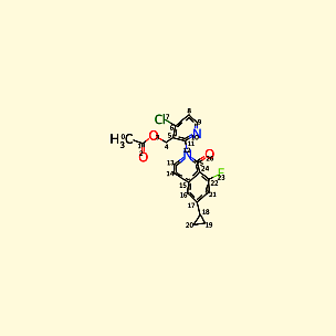 CC(=O)OCc1c(Cl)ccnc1-n1ccc2cc(C3CC3)cc(F)c2c1=O